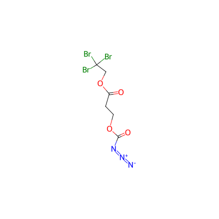 [N-]=[N+]=NC(=O)OCCC(=O)OCC(Br)(Br)Br